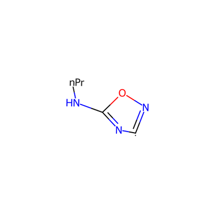 CCCNc1n[c]no1